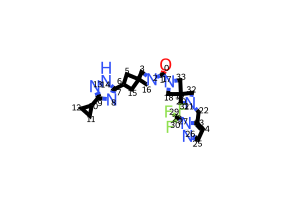 O=C(N1CC2(CC(c3nc(C4CC4)n[nH]3)C2)C1)N1CC2(CN(Cc3ccnn3C(F)(F)F)C2)C1